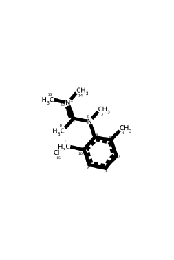 CC(N(C)c1c(C)cccc1C)=[N+](C)C.[Cl-]